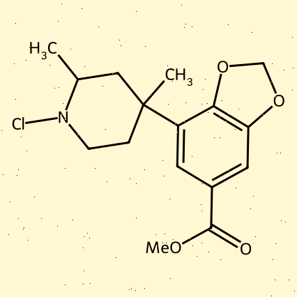 COC(=O)c1cc2c(c(C3(C)CCN(Cl)C(C)C3)c1)OCO2